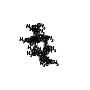 Cc1cc(C)c(Nc2ccc(C(c3ccc(Nc4c(C)cc(CCc5cc(C)c(Nc6ccc(C(c7ccc(Nc8c(C)cc(C)cc8C)cc7)c7ccc(Nc8c(C)cc(C)cc8C)c8ccccc78)cc6)c(C)c5)cc4C)cc3)c3ccc(Nc4c(C)cc(C)cc4C)c4ccccc34)cc2)c(C)c1